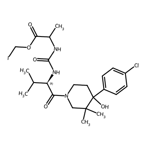 CC(NC(=O)N[C@@H](C(=O)N1CCC(O)(c2ccc(Cl)cc2)C(C)(C)C1)C(C)C)C(=O)OCI